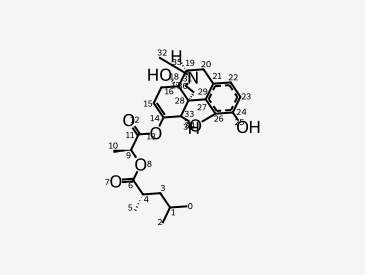 CC(C)C[C@H](C)C(=O)O[C@@H](C)C(=O)OC1=CC[C@@]2(O)[C@H]3Cc4ccc(O)c5c4[C@@]2(CCN3C)[C@H]1O5